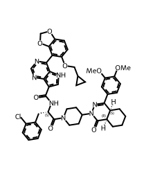 COc1ccc(C2=NN(C3CCN(C(=O)[C@H](Cc4ccccc4Cl)NC(=O)c4c[nH]c5c(-c6c(OCC7CC7)ccc7c6OCO7)ncnc45)CC3)C(=O)[C@@H]3CCCC[C@H]23)cc1OC